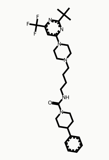 CC(C)(C)c1nc(N2CCN(CCCCNC(=O)N3CCC(c4ccccc4)CC3)CC2)cc(C(F)(F)F)n1